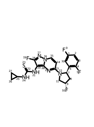 Fc1ccc(F)c([C@H]2C[C@H](F)CN2c2ccn3nc(F)c(NC(=S)NC4CC4)c3n2)c1